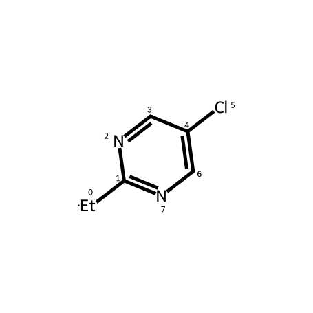 C[CH]c1ncc(Cl)cn1